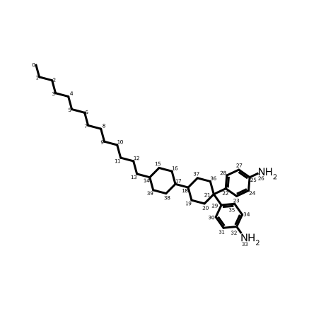 CCCCCCCCCCCCCCC1CCC(C2CCC(c3ccc(N)cc3)(c3ccc(N)cc3)CC2)CC1